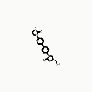 O=C1O[C@@H](CO)CN1c1ccc(-c2ccc(N3CCNC3=O)nc2)cc1